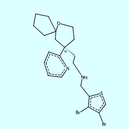 Brc1csc(CNCC[C@@]2(c3ccccn3)CCOC3(CCCC3)C2)c1Br